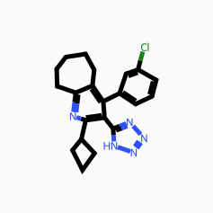 Clc1cccc(-c2c3c(nc(C4CCC4)c2-c2nnn[nH]2)CCCCC3)c1